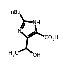 CCCCc1nc(C(C)O)c(C(=O)O)[nH]1